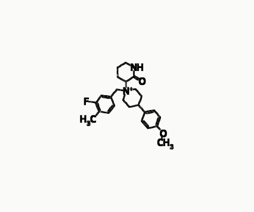 COc1ccc(C2CC[N+](Cc3ccc(C)c(F)c3)(C3CCCNC3=O)CC2)cc1